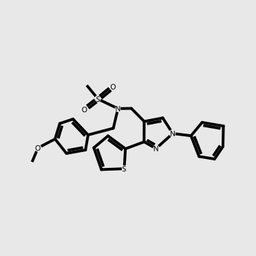 COc1ccc(CN(Cc2cn(-c3ccccc3)nc2-c2cccs2)S(C)(=O)=O)cc1